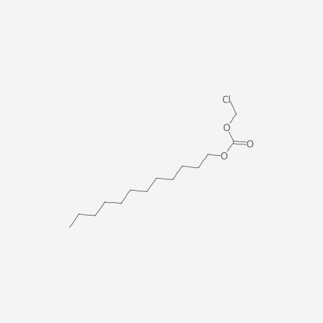 CCCCCCCCCCCCOC(=O)OCCl